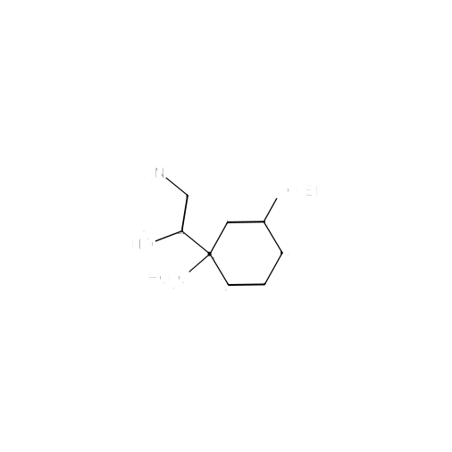 CCOC(=O)C1CCCC(C(=O)O)(C(O)CN)C1